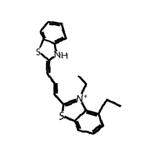 CCc1cccc2sc(C=CC=C3Nc4ccccc4S3)[n+](CC)c12